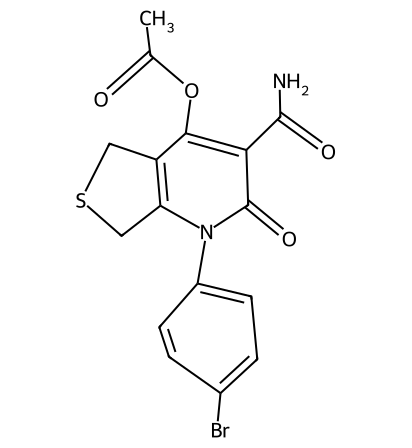 CC(=O)Oc1c2c(n(-c3ccc(Br)cc3)c(=O)c1C(N)=O)CSC2